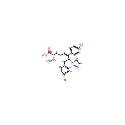 NOC(CCC=C(c1ccc(Cl)cc1)C(Cc1ccc(F)cc1)n1ccnc1)C(=O)O